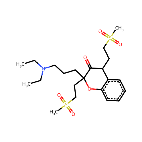 CCN(CC)CCCC1(CCS(C)(=O)=O)Oc2ccccc2C(CCS(C)(=O)=O)C1=O